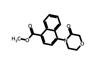 COC(=O)c1ccc(N2CCOCC2=O)c2ccccc12